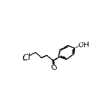 O=C(CCCCl)c1ccc(O)cc1